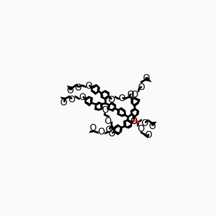 c1cc(-c2ccc(OCCOCC3CO3)c(C(c3ccc(-c4ccc(C(c5cc(-c6ccc(OCCOCC7CO7)cc6)ccc5OCCOCC5CO5)c5cc(-c6ccc(OCCOCC7CO7)cc6)ccc5OCCOCC5CO5)cc4)cc3)c3cc(-c4ccc(OCCOCC5CO5)cc4)ccc3OCCOCC3CO3)c2)ccc1OCCOCC1CO1